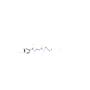 O=C(O)CCNC(=S)CCNC(=S)c1ccc(O)cc1